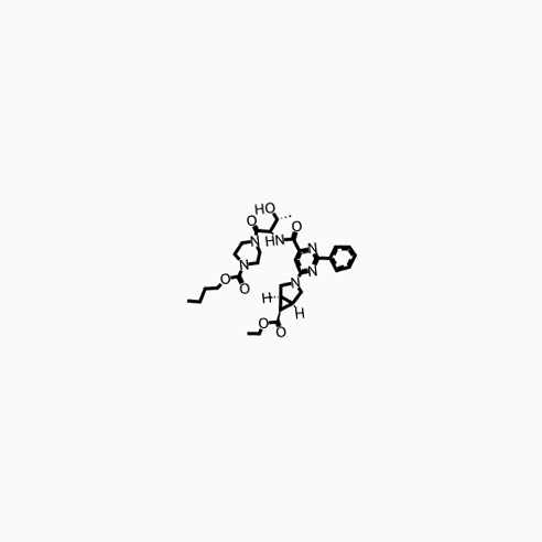 CCCCOC(=O)N1CCN(C(=O)[C@@H](NC(=O)c2cc(N3C[C@@H]4[C@H](C3)[C@@H]4C(=O)OCC)nc(-c3ccccc3)n2)[C@@H](C)O)CC1